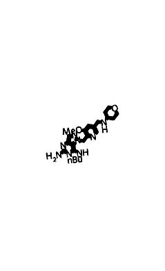 CCCCNc1nc(N)nc2cnn(Cc3ncc(CNC4CCOCC4)cc3OC)c12